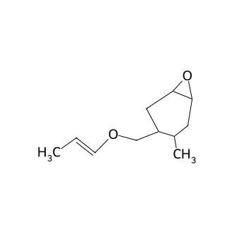 CC=COCC1CC2OC2CC1C